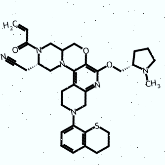 C=CC(=O)N1CC2COc3c(OC[C@@H]4CCCN4C)nc4c(c3N2C[C@@H]1CC#N)CCN(c1cccc2c1SCCC2)C4